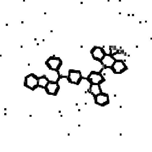 CC1(C)c2ccccc2N(c2cc(-c3ccc(N(c4ccccc4)c4cccc5c4sc4ccccc45)cc3)c3oc4ccccc4c3c2)c2ccccc21